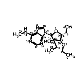 CCO[C@@H]1[C@@H](CO)O[C@@H](n2cnc3c(NC)ncnc32)[C@@]1(O)CC